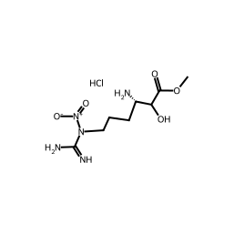 COC(=O)C(O)[C@@H](N)CCCN(C(=N)N)[N+](=O)[O-].Cl